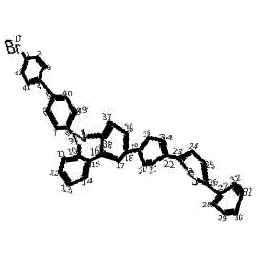 Brc1ccc(-c2ccc(-n3c4ccccc4c4cc(-c5ccc(-c6ccc(-c7ccccc7)s6)cc5)ccc43)cc2)cc1